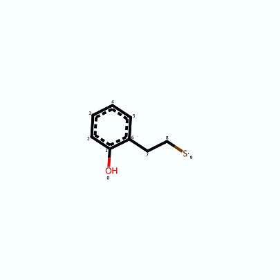 Oc1ccccc1CC[S]